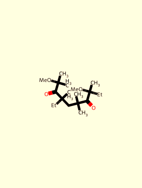 CCC(C)(CC(C)(C)C(=O)C(C)(CC)OC)C(=O)C(C)(C)OC